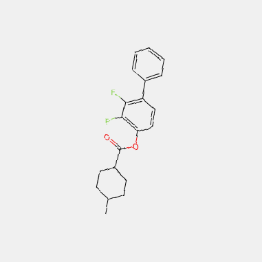 CC1CCC(C(=O)Oc2ccc(-c3ccccc3)c(F)c2F)CC1